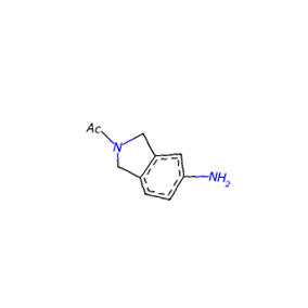 CC(=O)N1Cc2ccc(N)cc2C1